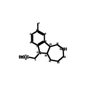 CCOC(=O)CN1c2ccc(C)cc2C2CNCCCC21